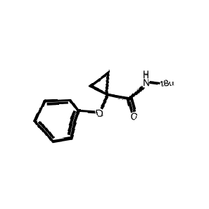 CC(C)(C)NC(=O)C1(Oc2ccccc2)CC1